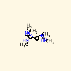 CCNc1cc(-c2cccc(CN(C)CCNC)c2)nc2c1cnn2C(C)C